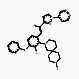 CCN1CCC2(CCCN(c3c(/C=C(\F)c4ccn(-c5ccnnc5)n4)ccc(Oc4ccccc4)c3C(F)(F)F)C2)CC1